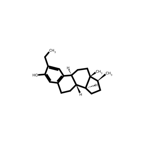 CCc1cc2c(cc1O)CC[C@@H]1[C@@H]2CC[C@]2(C)[C@@H](C)CC[C@@H]12